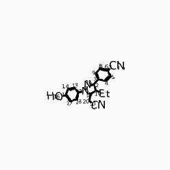 CCC1C(c2ccc(C#N)cc2)=NN(c2ccc(O)cc2)C1CC#N